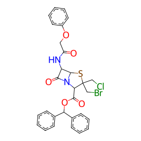 O=C(COc1ccccc1)NC1C(=O)N2C1SC(CCl)(CBr)C2C(=O)OC(c1ccccc1)c1ccccc1